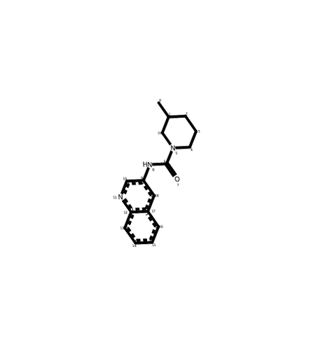 CC1CCCN(C(=O)Nc2cnc3ccccc3c2)C1